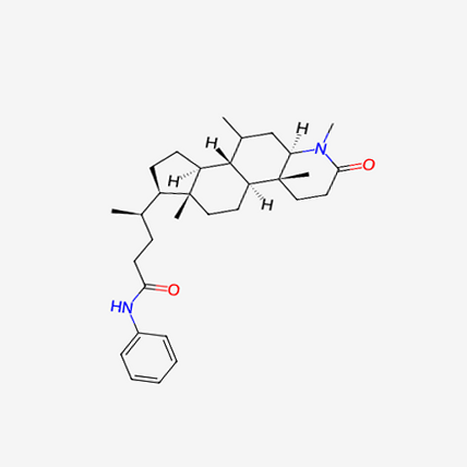 CC1C[C@H]2N(C)C(=O)CC[C@]2(C)[C@H]2CC[C@]3(C)[C@@H]([C@H](C)CCC(=O)Nc4ccccc4)CC[C@H]3[C@H]12